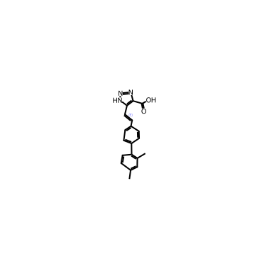 Cc1ccc(-c2ccc(/C=C/c3[nH]nnc3C(=O)O)cc2)c(C)c1